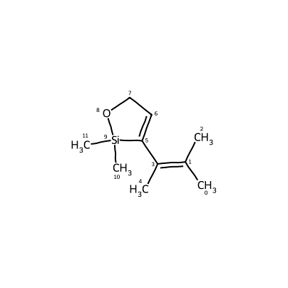 CC(C)=C(C)C1=CCO[Si]1(C)C